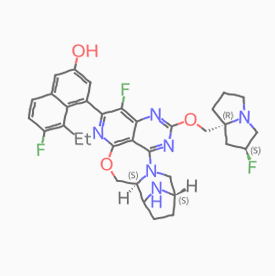 CCc1c(F)ccc2cc(O)cc(-c3nc4c5c(nc(OC[C@]67CCCN6C[C@@H](F)C7)nc5c3F)N3C[C@@H]5CCC(N5)[C@H]3CO4)c12